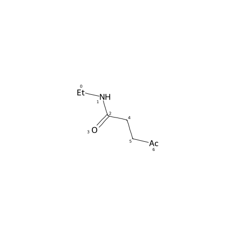 CCNC(=O)CCC(C)=O